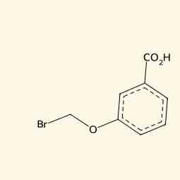 O=C(O)c1cccc(OCBr)c1